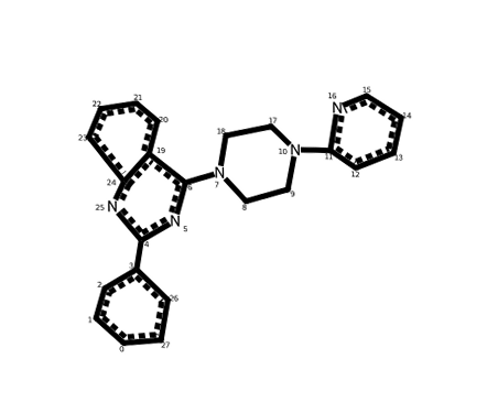 c1ccc(-c2nc(N3CCN(c4ccccn4)CC3)c3ccccc3n2)cc1